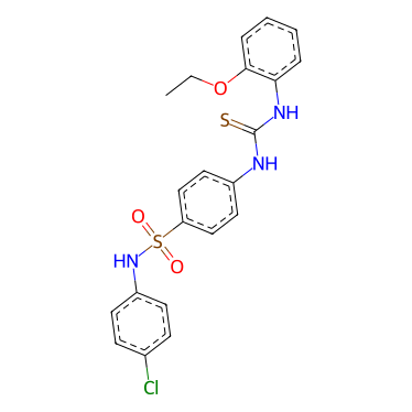 CCOc1ccccc1NC(=S)Nc1ccc(S(=O)(=O)Nc2ccc(Cl)cc2)cc1